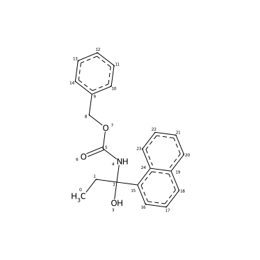 CCC(O)(NC(=O)OCc1ccccc1)c1cccc2ccccc12